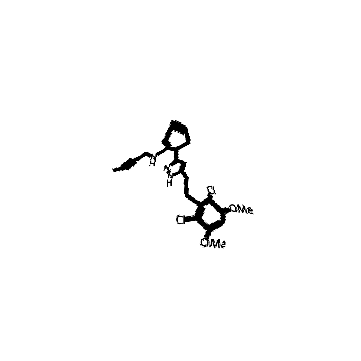 CC#CCNc1ccccc1-c1cc(CCc2c(Cl)c(OC)cc(OC)c2Cl)[nH]n1